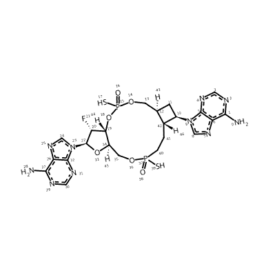 Nc1ncnc2c1ncn2[C@@H]1C[C@@H]2COP(=O)(S)O[C@H]3[C@@H](F)[C@H](n4cnc5c(N)ncnc54)O[C@@H]3COP(=O)(S)CC[C@H]21